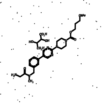 COCCCOC(=O)N1CCN(c2ncc(-c3cccc(CN(C)C(=O)CN)c3)cn2)CC1.O=C(O)C(O)C(O)C(=O)O